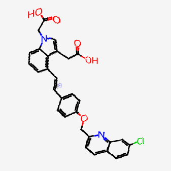 O=C(O)Cc1cn(CC(=O)O)c2cccc(/C=C/c3ccc(OCc4ccc5ccc(Cl)cc5n4)cc3)c12